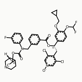 O=C(O[C@@H](Cc1c(Cl)c[n+]([O-])cc1Cl)c1ccc(OC(F)F)c(OCC2CC2)c1)c1cccc(CN(C(=O)O[C@H]2CN3CCC2CC3)c2cccc(F)c2)c1